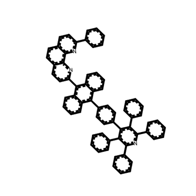 c1ccc(-c2ccc3ccc4ccc(-c5c6ccccc6c(-c6ccc(-c7c(-c8ccccc8)c(-c8ccccc8)nc(-c8ccccc8)c7-c7ccccc7)cc6)c6ccccc56)nc4c3n2)cc1